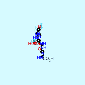 CCc1cc(Nc2nccn3c(-c4ccc(OC(F)F)c(F)c4F)cnc23)ccc1C(=O)N[C@@H](C)CNC(=O)C1CCN(CC2CNC2C(=O)O)CC1.O=C(O)C(F)(F)F